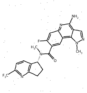 CN(C(=O)c1cc2c(cc1F)nc(N)c1cnn(C)c12)[C@@H]1CCc2nc(C(F)(F)F)ccc21